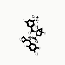 CS(=O)(=O)c1cc(F)cc(C(=O)N2[C@@H](C(=O)N[C@@H](c3cc(F)c(Cl)cc3F)C3COC3)C[C@H]3C[C@H]32)c1